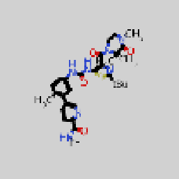 CCNC(=O)c1ccc(-c2cc(NC(=O)Nc3sc(C(C)(C)C)nc3C(=O)N3CCN(C)C(=O)C3(C)C)ccc2C)cn1